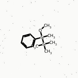 CO[Si](C)(c1ccccc1)[Si](C)(C)C